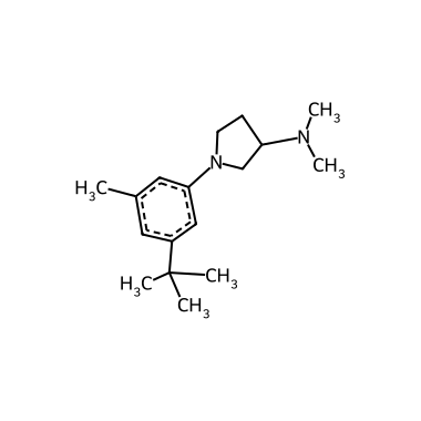 Cc1cc(N2CCC(N(C)C)C2)cc(C(C)(C)C)c1